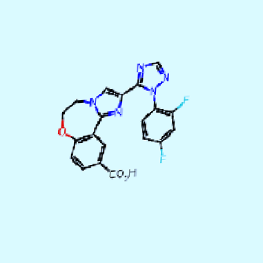 O=C(O)c1ccc2c(c1)-c1nc(-c3ncnn3-c3ccc(F)cc3F)cn1CCO2